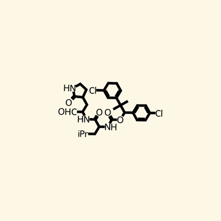 CC(C)CC(NC(=O)OC(c1ccc(Cl)cc1)C(C)(C)C1=CCCC(Cl)=C1)C(=O)NC(C=O)CC1CCNC1=O